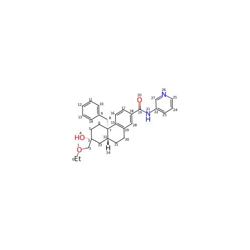 CCOC[C@@]1(O)CC[C@@]2(Cc3ccccc3)c3ccc(C(=O)Nc4cccnc4)cc3CC[C@@H]2C1